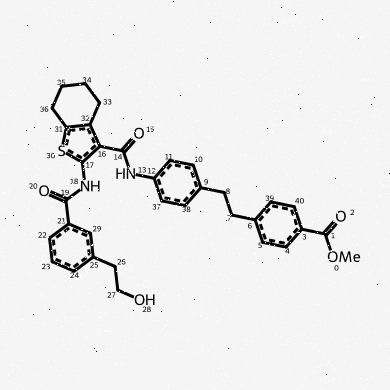 COC(=O)c1ccc(CCc2ccc(NC(=O)c3c(NC(=O)c4cccc(CCO)c4)sc4c3CCCC4)cc2)cc1